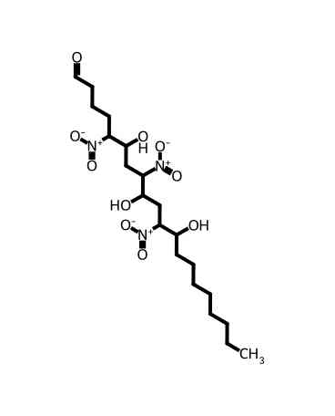 CCCCCCCCC(O)C(CC(O)C(CC(O)C(CCCC=O)[N+](=O)[O-])[N+](=O)[O-])[N+](=O)[O-]